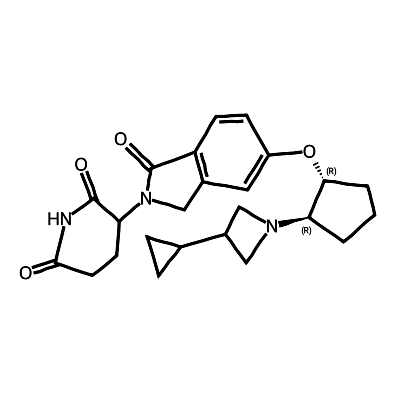 O=C1CCC(N2Cc3cc(O[C@@H]4CCC[C@H]4N4CC(C5CC5)C4)ccc3C2=O)C(=O)N1